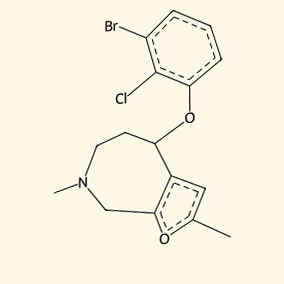 Cc1cc2c(o1)CN(C)CCC2Oc1cccc(Br)c1Cl